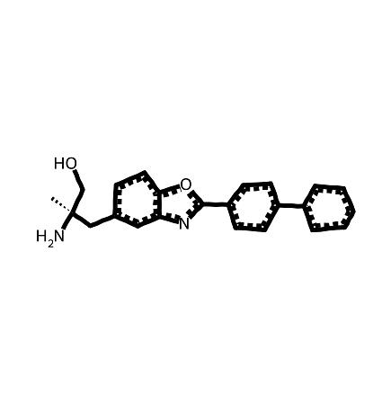 C[C@](N)(CO)Cc1ccc2oc(-c3ccc(-c4ccccc4)cc3)nc2c1